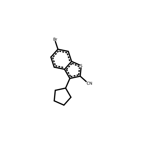 N#Cc1sc2cc(Br)ccc2c1C1CCCC1